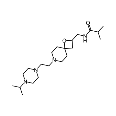 CC(C)C(=O)NCC1CC2(CCN(CCN3CCN(C(C)C)CC3)CC2)O1